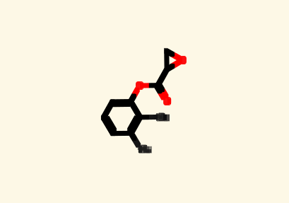 CC(C)(C)c1cccc(OC(=O)C2CO2)c1C(C)(C)C